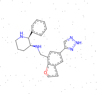 c1ccc([C@@H]2NCCC[C@@H]2NCc2cc(-c3cn[nH]n3)cc3ccoc23)cc1